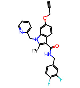 C#CCOc1ccc2c(C(=O)NCc3ccc(F)c(F)c3)c(C(C)C)n(Cc3ccccn3)c2c1